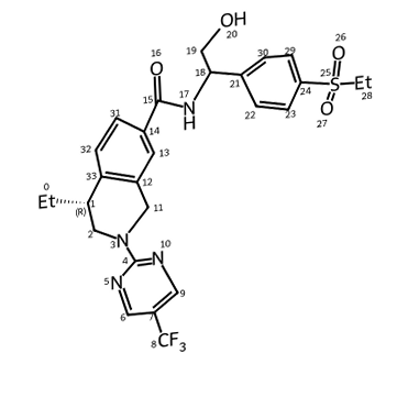 CC[C@H]1CN(c2ncc(C(F)(F)F)cn2)Cc2cc(C(=O)NC(CO)c3ccc(S(=O)(=O)CC)cc3)ccc21